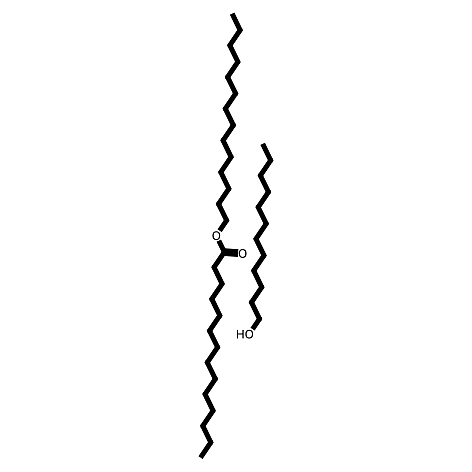 CCCCCCCCCCCCCCOC(=O)CCCCCCCCCCCCC.CCCCCCCCCCCCO